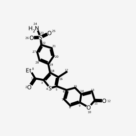 CCC(=O)c1sc(C2=CC=C3OC(=O)C=C3C2)c(C)c1-c1ccc(S(N)(=O)=O)cc1